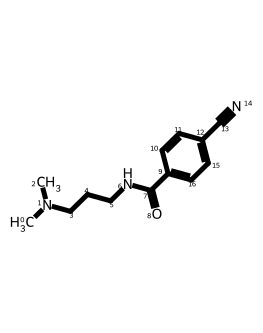 CN(C)CCCNC(=O)c1ccc(C#N)cc1